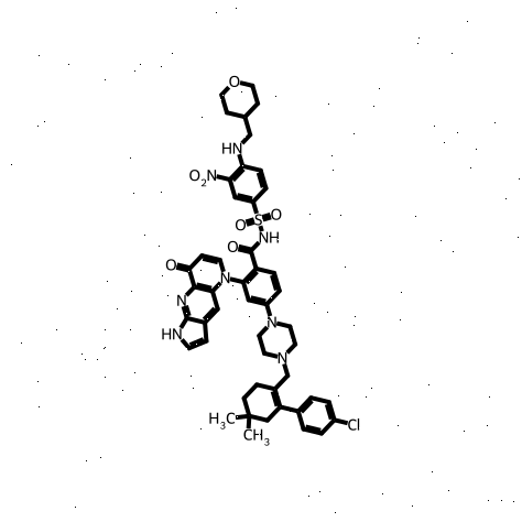 CC1(C)CCC(CN2CCN(c3ccc(C(=O)NS(=O)(=O)c4ccc(NCC5CCOCC5)c([N+](=O)[O-])c4)c(-n4ccc(=O)c5nc6[nH]ccc6cc54)c3)CC2)=C(c2ccc(Cl)cc2)C1